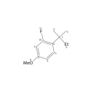 CCC(C)(C)c1ccc(OC)cc1F